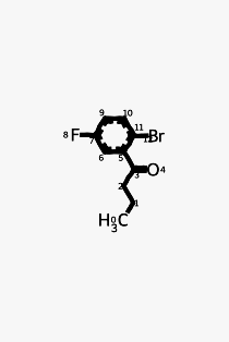 CCCC(=O)c1cc(F)ccc1Br